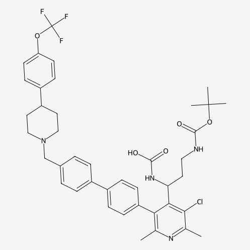 Cc1nc(C)c(-c2ccc(-c3ccc(CN4CCC(c5ccc(OC(F)(F)F)cc5)CC4)cc3)cc2)c(C(CCNC(=O)OC(C)(C)C)NC(=O)O)c1Cl